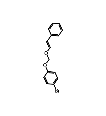 Brc1ccc(OCO/C=C/c2ccccc2)cc1